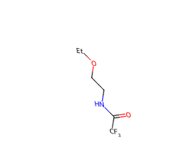 CCOCCNC(=O)C(F)(F)F